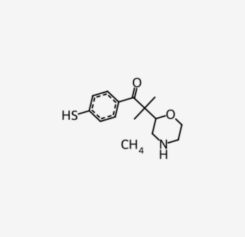 C.CC(C)(C(=O)c1ccc(S)cc1)C1CNCCO1